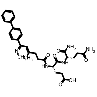 C/N=C(\C=C(/C)CCC(=O)N[C@@H](CCC(=O)O)C(=O)N[C@@H](CCC(N)=O)C(N)=O)c1ccc(-c2ccccc2)cc1